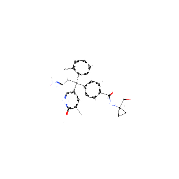 Cc1ccccc1C(C/C=N/O)(c1ccc(C(=O)NC2(CO)CC2)cc1)c1c[nH]c(=O)c(C)c1